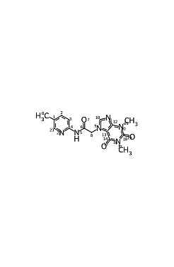 Cc1ccc(NC(=O)Cn2cnc3c2c(=O)n(C)c(=O)n3C)nc1